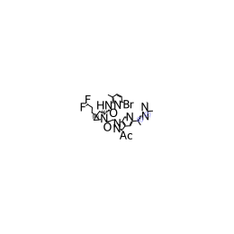 C=N/C(C)=N\C=C(/C)c1cc2c(C(C)=O)nn(CC(=O)N3C4C[C@]4(CCC(F)F)C[C@H]3C(=O)Nc3nc(Br)ccc3C)c2cn1